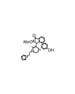 CON1C(=O)c2ccccc2C1[C@@H]1[C@@H](C)N(CCn2cccc2)CC[C@H]1c1cccc(O)c1